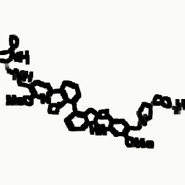 COc1cc(N[C@H]2CCc3c(-c4cccc(-c5ccc(CNC[C@@H]6CCC(=O)N6)c(OC)n5)c4Cl)cccc32)c(Cl)cc1CN1CC[C@H](C(=O)O)C1